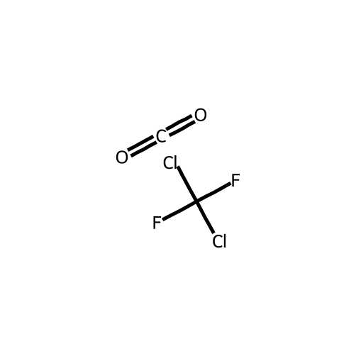 FC(F)(Cl)Cl.O=C=O